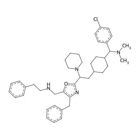 CN(C)C(c1ccc(Cl)cc1)C1CCC(CC(c2nc(Cc3ccccc3)c(CNCCc3ccccc3)o2)N2CCCCC2)CC1